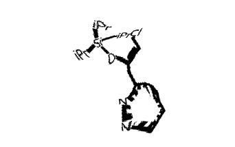 CC(C)[Si](OC(=CCl)c1cccnn1)(C(C)C)C(C)C